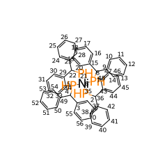 c1ccc(C([PH][Ni]([PH]C(c2ccccc2)c2ccccc2)([PH]C(c2ccccc2)c2ccccc2)[PH]C(c2ccccc2)c2ccccc2)c2ccccc2)cc1